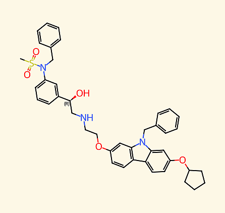 CS(=O)(=O)N(Cc1ccccc1)c1cccc([C@@H](O)CNCCOc2ccc3c4ccc(OC5CCCC5)cc4n(Cc4ccccc4)c3c2)c1